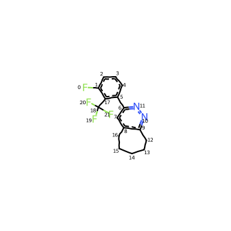 Fc1cccc(-c2cc3c(nn2)CCCCC3)c1C(F)(F)F